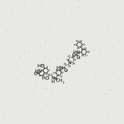 C[C@H](NCC(O)c1ccc(O)c2[nH]c(=O)ccc12)c1ccc(NC(=O)CCN2CCC(OC(=O)Nc3ccccc3-c3ccccc3)CC2)cc1